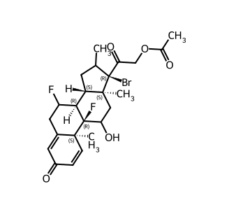 CC(=O)OCC(=O)[C@@]1(Br)C(C)C[C@H]2[C@@H]3C(F)CC4=CC(=O)C=C[C@]4(C)[C@@]3(F)C(O)C[C@@]21C